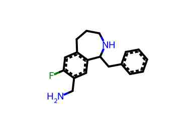 NCc1cc2c(cc1F)CCCNC2Cc1ccccc1